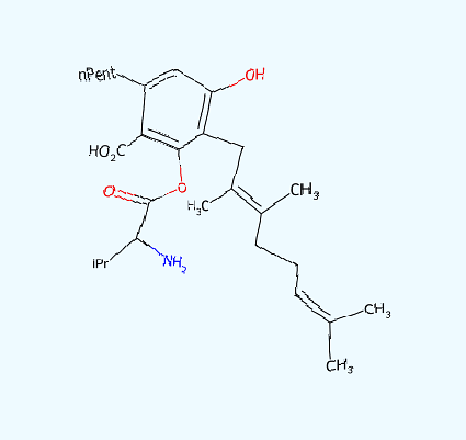 CCCCCc1cc(O)c(C/C(C)=C(\C)CCC=C(C)C)c(OC(=O)C(N)C(C)C)c1C(=O)O